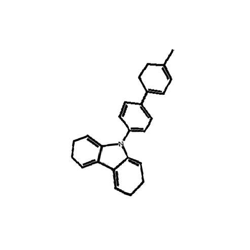 CC1=CC=C(c2ccc(-n3c4c(c5c3=CCCC=5)=CCCC=4)cc2)CC1